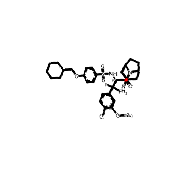 CCCCOc1cc(C(F)(F)[C@H](NS(=O)(=O)c2ccc(OCC3CCCCC3)cc2)C(=O)N2C3CCC2CC(N)C3)ccc1Cl